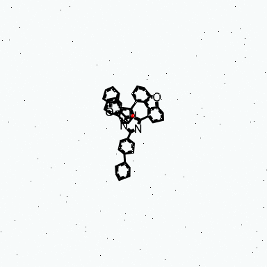 c1ccc(-c2ccc(-c3nc(-c4ccccc4)nc(-c4cccc5oc6cccc(-c7cccc8oc9ccccc9c78)c6c45)n3)cc2)cc1